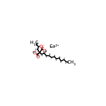 CCCCCCCCCCCCC(CCCC)(C(=O)[O-])C(=O)[O-].[Ca+2]